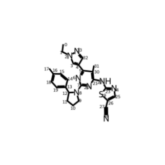 CCn1cc(-c2nc(N3CCCC3c3ccc(C)cc3)nc(Nc3ncc(C#N)s3)c2C)cn1